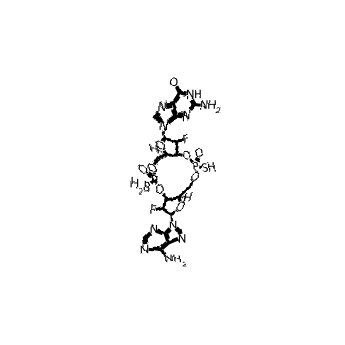 BP1(=O)OC[C@H]2O[C@@H](n3cnc4c(=O)[nH]c(N)nc43)C(F)C2OP(=O)(S)OC[C@H]2O[C@@H](n3cnc4c(N)ncnc43)C(F)C2O1